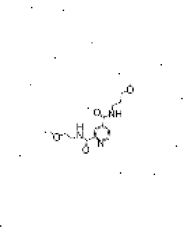 COCCCNC(=O)c1ccnc(C(=O)NCCOC)c1